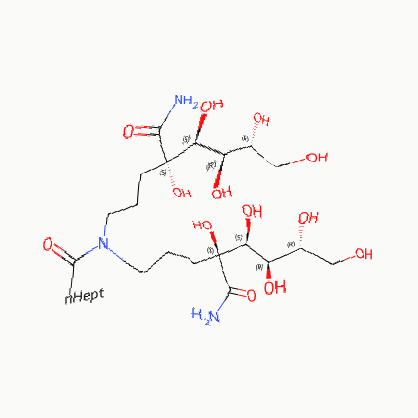 CCCCCCCC(=O)N(CCC[C@@](O)(C(N)=O)[C@@H](O)[C@H](O)[C@H](O)CO)CCC[C@@](O)(C(N)=O)[C@@H](O)[C@H](O)[C@H](O)CO